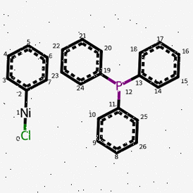 [Cl][Ni][c]1ccccc1.c1ccc(P(c2ccccc2)c2ccccc2)cc1